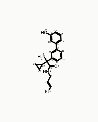 CC/C=C/CNC(=O)C(N)(c1cccc(-c2cccc(O)c2)c1)C1CC1